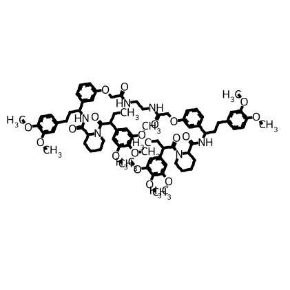 CCC(C(=O)N1CCCCC1C(=O)NC(CCc1ccc(OC)c(OC)c1)c1cccc(OCC(=O)NCCNC(=O)COc2cccc(C(CCc3ccc(OC)c(OC)c3)NC(=O)C3CCCCN3C(=O)C(CC)c3cc(OC)c(OC)c(OC)c3)c2)c1)c1cc(OC)c(OC)c(OC)c1